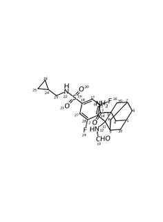 NC(=O)C12CC3CC(CC(C3)C1(NC=O)c1c(F)cc(S(=O)(=O)NCC3CC3)cc1F)C2